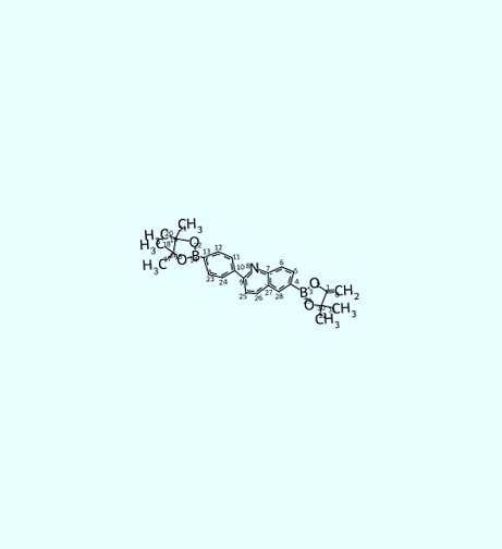 C=C1OB(c2ccc3nc(-c4ccc(B5OC(C)(C)C(C)(C)O5)cc4)ccc3c2)OC1(C)C